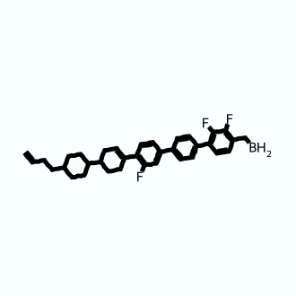 BCc1ccc(-c2ccc(-c3ccc(C4=CCC(C5CCC(CCC=C)CC5)CC4)c(F)c3)cc2)c(F)c1F